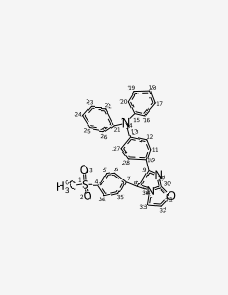 CS(=O)(=O)c1ccc(-c2c(-c3ccc(N(c4ccccc4)c4ccccc4)cc3)nc3occn23)cc1